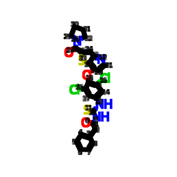 O=C(Cc1ccccc1)NC(=S)Nc1cc(Cl)c(Oc2ccnc3cc(C(=O)N4CCCC4)sc23)c(Cl)c1